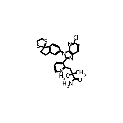 CC(C)(Cc1ncccc1-c1nc2ccc(Cl)nc2n1-c1ccc2c(c1)CCC21SCCS1)C(N)=O